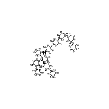 c1ccc(-c2cccc(-c3cccc(-c4ccc(-c5ccc(-n6c7ccccc7c7c(-c8cccc9c%10ccccc%10n(-c%10cccc(-c%11ccccc%11)c%10)c89)cccc76)cc5)cc4)c3)c2)cc1